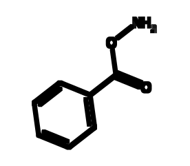 NOC(=O)c1ccccc1